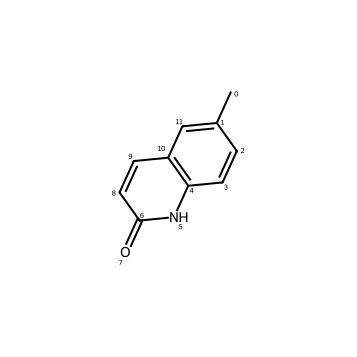 Cc1ccc2[nH]c(=O)ccc2c1